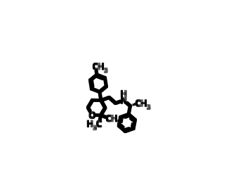 CC1=CCC(C2(CCN[C@H](C)c3ccccc3)CCOC(C)(C)C2)C=C1